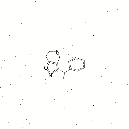 CC(c1ccccc1)c1noc2c1C=NCC2